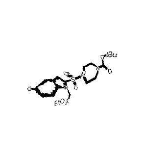 CCOC(=O)Cn1c(S(=O)(=O)N2CCN(C(=O)OC(C)(C)C)CC2)cc2cc(Cl)ccc21